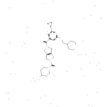 NS(=O)(=O)C1CCN(C(=O)N2CC3=C(CN(C(=O)c4cc(OCC5CCOCC5)nc(C5CC5)c4)C3)C2)CC1